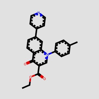 CCOC(=O)c1cn(-c2ccc(C)cc2)c2cc(-c3ccncc3)ccc2c1=O